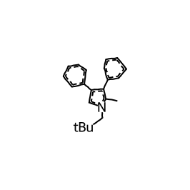 Cc1c(-c2ccccc2)c(-c2ccccc2)cn1CC(C)(C)C